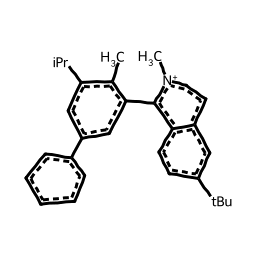 Cc1c(-c2c3ccc(C(C)(C)C)cc3cc[n+]2C)cc(-c2ccccc2)cc1C(C)C